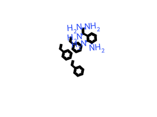 C=Cc1ccccc1.C=Cc1ccccc1.C=Cc1ccccc1.NC(N)=C(N)c1cccc(N)c1N